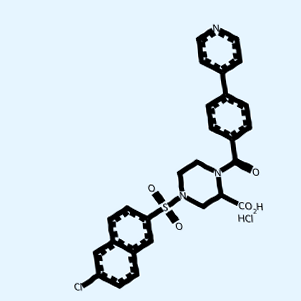 Cl.O=C(O)C1CN(S(=O)(=O)c2ccc3cc(Cl)ccc3c2)CCN1C(=O)c1ccc(-c2ccncc2)cc1